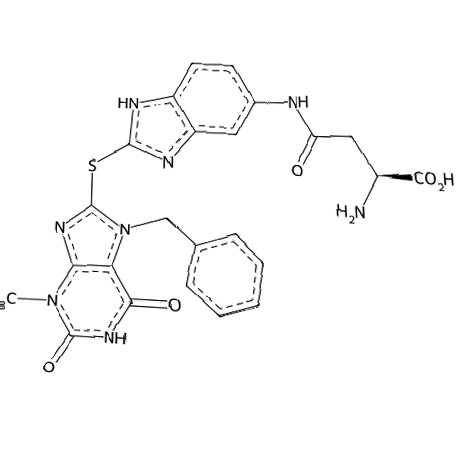 Cn1c(=O)[nH]c(=O)c2c1nc(Sc1nc3cc(NC(=O)C[C@H](N)C(=O)O)ccc3[nH]1)n2Cc1ccccc1